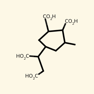 CC1CC(C(CC(=O)O)C(=O)O)CC(C(=O)O)C1C(=O)O